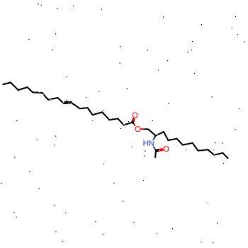 CCCCCCCCC=CCCCCCCCC(=O)OCC(CCCCCCCCCC)NC(C)=O